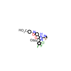 COC(=O)C1=C(C2CCc3nc([C@H]4CC[C@H](C(=O)O)CC4)oc3C2)NC(c2nccs2)=NC1c1ccc(F)c(F)c1Cl